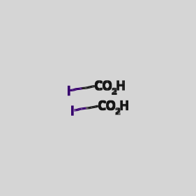 O=C(O)I.O=C(O)I